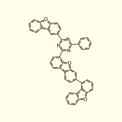 c1ccc(-c2nc(-c3ccc4oc5ccccc5c4c3)nc(-c3cccc4c3oc3cc(-c5cccc6oc7ccccc7c56)ccc34)n2)cc1